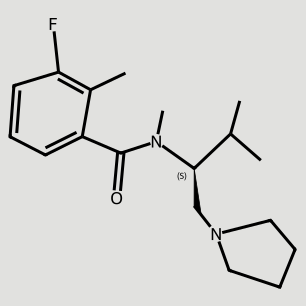 Cc1c(F)cccc1C(=O)N(C)[C@H](CN1CCCC1)C(C)C